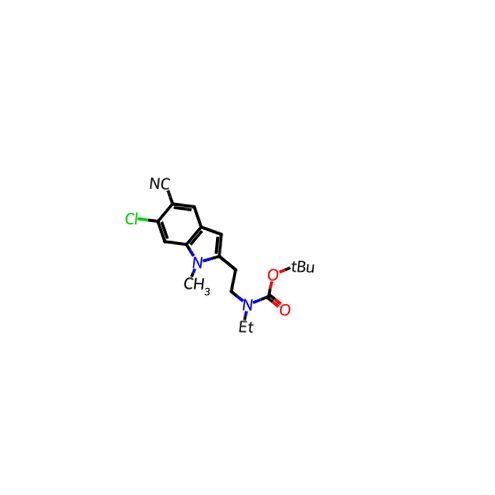 CCN(CCc1cc2cc(C#N)c(Cl)cc2n1C)C(=O)OC(C)(C)C